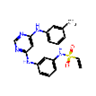 C=CS(=O)(=O)Nc1cccc(Nc2cc(Nc3cccc(C(F)(F)F)c3)ncn2)c1